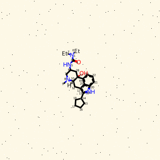 CCN(CC)C(=O)NC1CN(C)[C@@H]2Cc3c(C4CCCC4)[nH]c4cccc(c34)C2(O)C1